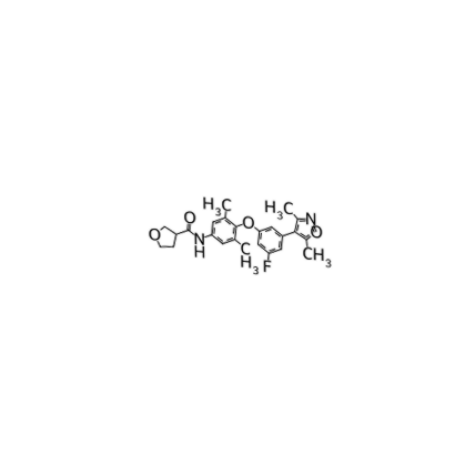 Cc1cc(NC(=O)C2CCOC2)cc(C)c1Oc1cc(F)cc(-c2c(C)noc2C)c1